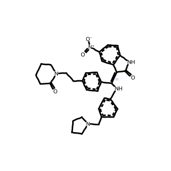 O=C1Nc2ccc([N+](=O)[O-])cc2/C1=C(/Nc1ccc(CN2CCCC2)cc1)c1ccc(CCN2CCCCC2=O)cc1